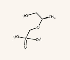 C[C@H](CO)OCP(=O)(O)O